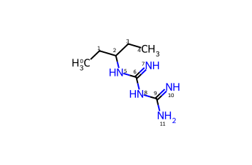 CCC(CC)NC(=N)NC(=N)N